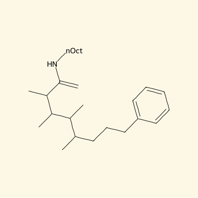 C=C(NCCCCCCCC)C(C)C(C)C(C)C(C)CCCc1ccccc1